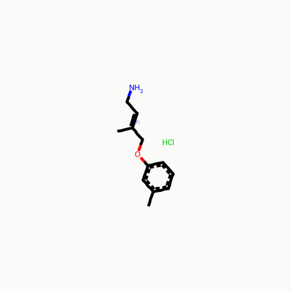 C/C(=C\CN)COc1cccc(C)c1.Cl